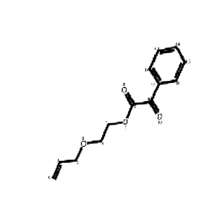 C=CCOCCOC(=O)C(=O)c1ccccc1